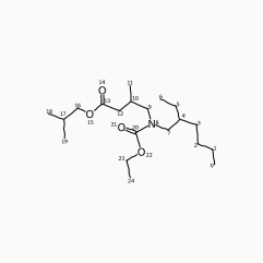 CCCCC(CC)CN(CC(C)CC(=O)OCC(C)C)C(=O)OCC